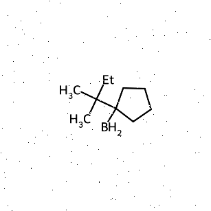 BC1(C(C)(C)CC)CCCC1